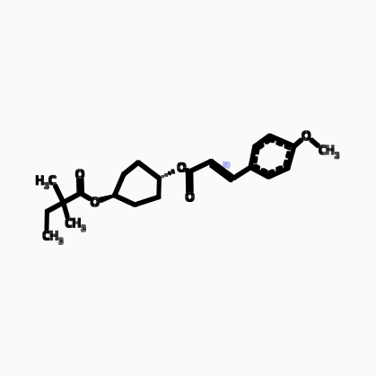 CCC(C)(C)C(=O)O[C@H]1CC[C@H](OC(=O)/C=C/c2ccc(OC)cc2)CC1